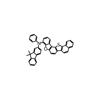 CC1(C)c2ccccc2-c2ccc(N(c3ccccc3)c3cccc4c3oc3ccc5c6ccc7ccccc7c6sc5c34)cc21